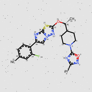 CC(C)c1noc(N2CCC([C@@H](C)Oc3nn4cc(-c5ccc(C#N)cc5F)nc4s3)CC2)n1